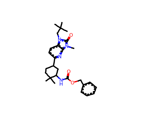 Cn1c(=O)n(CC(C)(C)C)c2ccc(C3CCC(C)(C)C(NC(=O)OCc4ccccc4)C3)nc21